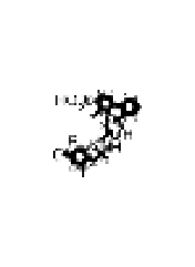 Cc1cc(-c2ccccc2[C@@H](C)OC[C@H](O)CNC(C)(C)Cc2cc(F)c(Cl)cc2F)ccc1C(=O)O